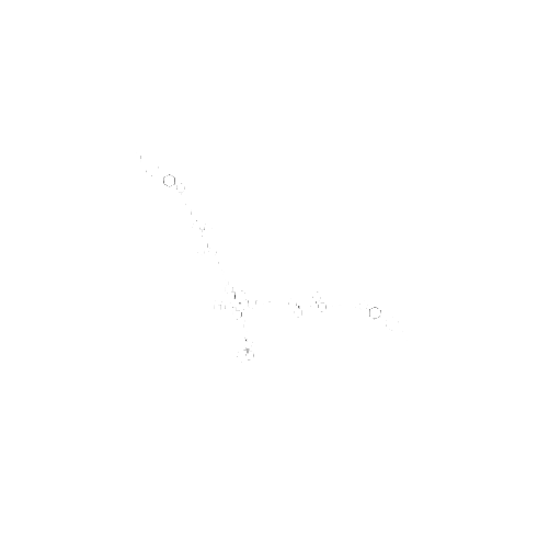 CCC[C@H]1CC[C@H](c2ccc(OCCCCCCOC(=O)CCC(=O)OCCCCCCOC3=CC(CCCCCCOC4CCCCO4)(C(=O)O)C(OCCCCCCOC(=O)CCC(=O)OCCCCCCOc4ccc([C@H]5CC[C@H](CCC)CC5)cc4)C=C3)cc2)CC1